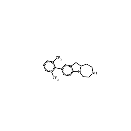 FC(F)(F)c1cccc(C(F)(F)F)c1-c1ccc2c(c1)CC1CCNCCN21